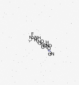 COC(=O)N[C@@H](CC/C=C/C(=O)N(C)C)C(=O)Nc1ccc(C)n(Cc2nc3c(CC(C)C)ncc(F)c3[nH]2)c1=O